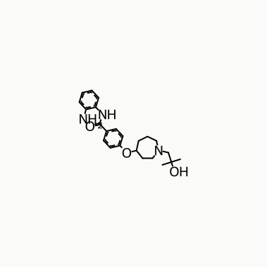 CC(C)(O)CN1CCCC(Oc2ccc(C(=O)Nc3ccccc3N)cc2)CC1